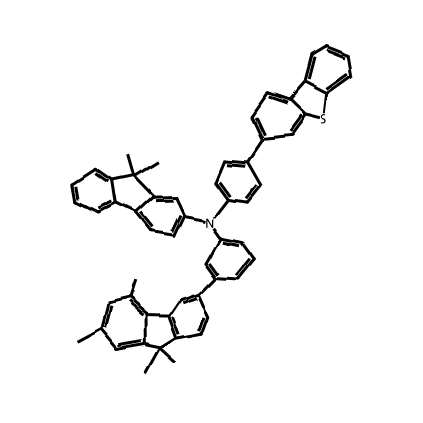 Cc1cc(C)c2c(c1)C(C)(C)c1ccc(-c3cccc(N(c4ccc(-c5ccc6c(c5)sc5ccccc56)cc4)c4ccc5c(c4)C(C)(C)c4ccccc4-5)c3)cc1-2